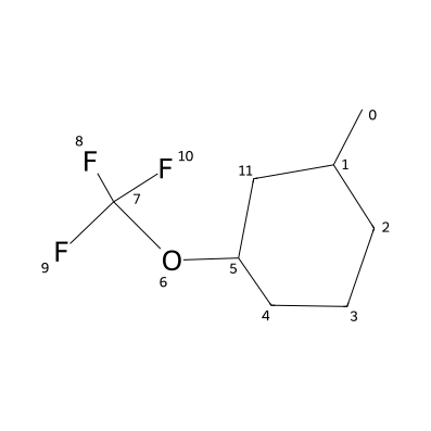 CC1CCCC(OC(F)(F)F)C1